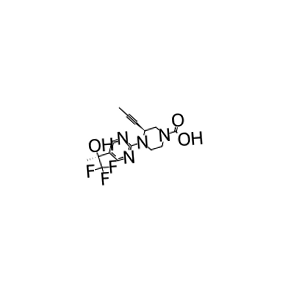 CC#C[C@H]1CN(C(=O)O)CCN1c1ncc([C@](C)(O)C(F)(F)F)cn1